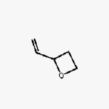 C=C[C]1CCO1